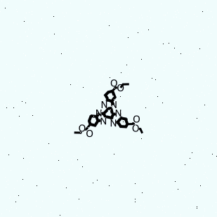 CCOC(=O)c1ccc2nc3c4nc5ccc(C(=O)OCC)cc5nc4c4nc5cc(C(=O)OCC)ccc5nc4c3nc2c1